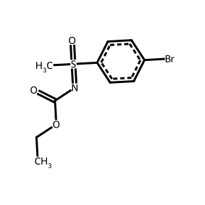 CCOC(=O)N=S(C)(=O)c1ccc(Br)cc1